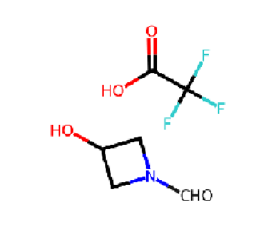 O=C(O)C(F)(F)F.O=CN1CC(O)C1